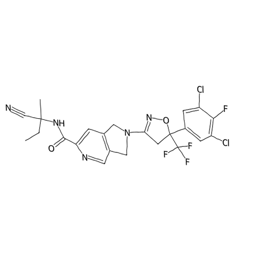 CCC(C)(C#N)NC(=O)c1cc2c(cn1)CN(C1=NOC(c3cc(Cl)c(F)c(Cl)c3)(C(F)(F)F)C1)C2